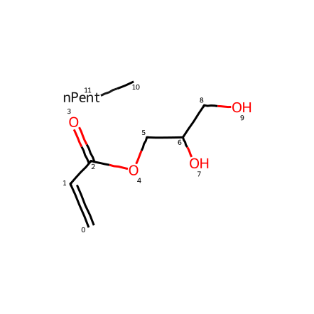 C=CC(=O)OCC(O)CO.CCCCCC